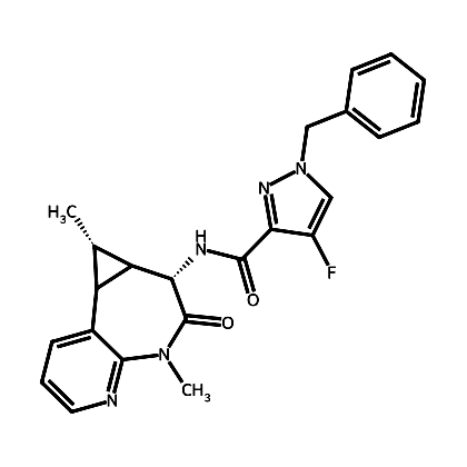 C[C@H]1C2c3cccnc3N(C)C(=O)[C@@H](NC(=O)c3nn(Cc4ccccc4)cc3F)C21